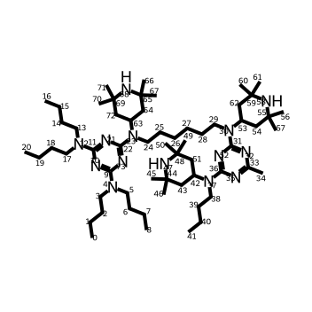 CCCCN(CCCC)c1nc(N(CCCC)CCCC)nc(N(CCCCCCN(c2nc(C)nc(N(CCCC)C3CC(C)(C)NC(C)(C)C3)n2)C2CC(C)(C)NC(C)(C)C2)C2CC(C)(C)NC(C)(C)C2)n1